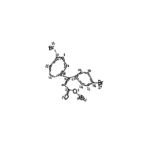 CCC(C)OC(=O)C=C(c1ccc(Br)cc1)c1ccc(Br)cc1